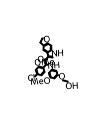 COc1cc(NC(C(=O)c2c[nH]c3cc4c(cc23)CCO4)c2ccc(Cl)cc2OC)cc(OCCO)c1